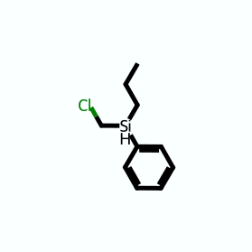 CCC[SiH](CCl)c1ccccc1